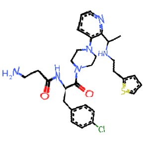 CC(NCCc1cccs1)c1ncccc1N1CCN(C(=O)[C@@H](Cc2ccc(Cl)cc2)NC(=O)CCN)CC1